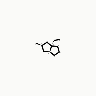 CC[C@]12CCCN1C[C@@H](C)C2